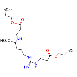 CCCCCCCCCCCCOC(=O)CCNC(=N)NCCCC(NCCC(=O)OCCCCCCCCCCCC)C(=O)O